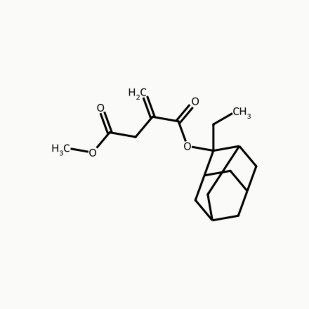 C=C(CC(=O)OC)C(=O)OC1(CC)C2CC3CC(C2)CC1C3